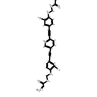 C=CC(=O)OCOc1ccc(C#Cc2ccc(C#Cc3ccc(OCOC(=O)C=C)c(F)c3)nc2)cc1F